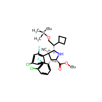 CC(C)(C)OC(=O)[C@@H]1N[C@@H](C(CO[Si](C)(C)C(C)(C)C)C2CCC2)[C@](C#N)(c2ccc(Cl)cc2F)[C@H]1c1cccc(Cl)c1F